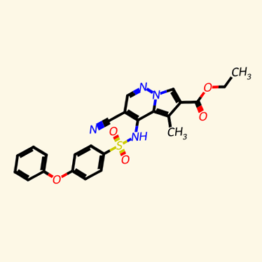 CCOC(=O)c1cn2ncc(C#N)c(NS(=O)(=O)c3ccc(Oc4ccccc4)cc3)c2c1C